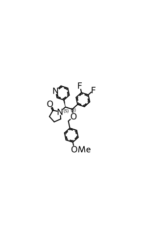 COc1ccc(CO[C@H](c2ccc(F)c(F)c2)[C@H](c2cccnc2)N2CCCC2=O)cc1